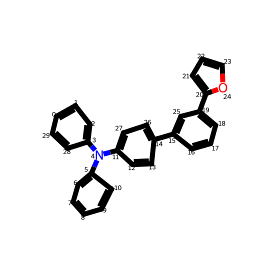 c1ccc(N(c2ccccc2)c2ccc(-c3cccc(-c4ccco4)c3)cc2)cc1